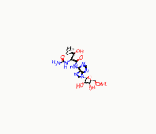 CC(O)[C@H](NC(N)=O)C(=O)Nc1ncnc2c1ncn2[C@@H]1O[C@H](CO)[C@@H](O)[C@H]1O